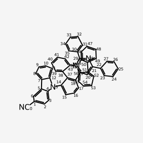 N#Cc1ccc2c(c1)c1ccccc1n2-c1cccc(-c2cc(-c3ccccc3)nc(-c3ccccc3)n2)c1-c1ccccc1-n1c2ccccc2c2ccccc21